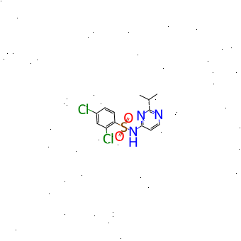 CC(C)c1nccc(NS(=O)(=O)c2ccc(Cl)cc2Cl)n1